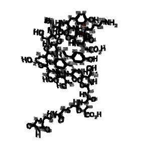 CC[C@H](C)[C@H](NC(=O)[C@H](CO)NC(=O)[C@H](CCc1ccc(O)cc1)NC(=O)[C@H](CC(=O)O)NC(=O)[C@H](CO)NC(=O)[C@@H](NC(=O)[C@H](Cc1ccccc1)NC(=O)[C@@H](NC(=O)CNC(=O)[C@H](CCC(=O)O)NC(=O)CSCC(=O)NCCN1CC(=O)NC1=O)[C@@H](C)O)[C@@H](C)O)C(=O)N[C@@H](Cc1ccc(O)cc1)C(=O)N[C@@H](CC(C)C)C(=O)N[C@@H](CC(=O)O)C(=O)N[C@H](C)CCCCN